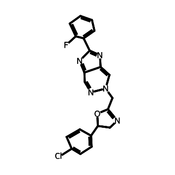 Fc1ccccc1-c1nc2cnn(CC3=NCC(c4ccc(Cl)cc4)O3)cc-2n1